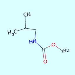 CC(C#N)CNC(=O)OC(C)(C)C